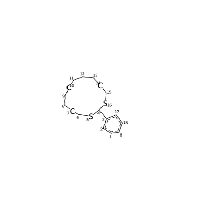 c1ccc(C2SCCCCCCCCCCS2)cc1